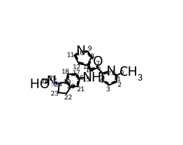 Cc1cccc(-c2oc3cnccc3c2Nc2ccc3c(c2)CC/C3=N\O)n1